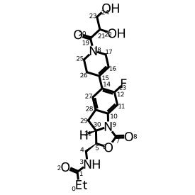 CCC(=O)NC[C@@H]1OC(=O)N2c3cc(F)c(C4=CCN(C(=O)C(O)CO)CC4)cc3C[C@@H]12